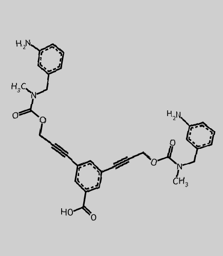 CN(Cc1cccc(N)c1)C(=O)OCC#Cc1cc(C#CCOC(=O)N(C)Cc2cccc(N)c2)cc(C(=O)O)c1